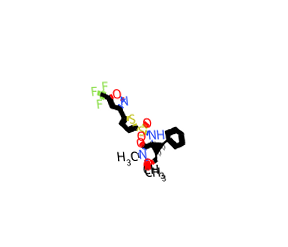 COC[C@@H]1[C@H](c2ccccc2)[C@]1(NS(=O)(=O)c1ccc(-c2cc(C(F)(F)F)on2)s1)C(=O)N(C)OC